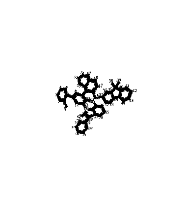 Cc1ccccc1-c1cc2c3c(c1)-n1c4sc5ccccc5c4c4cccc(c41)B3N(c1ccc3c(c1)C(C)(C)c1ccccc1-3)c1ccc3ccccc3c1-2